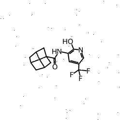 O=C(Nc1cc(C(F)(F)F)cnc1O)C12CC3CC4CC(C1)C432